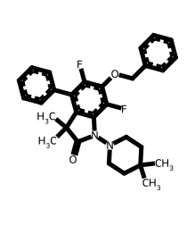 CC1(C)CCN(N2C(=O)C(C)(C)c3c(-c4ccccc4)c(F)c(OCc4ccccc4)c(F)c32)CC1